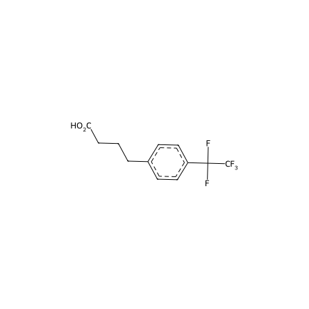 O=C(O)CCCc1ccc(C(F)(F)C(F)(F)F)cc1